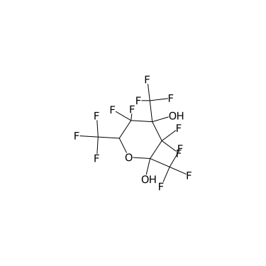 OC1(C(F)(F)F)OC(C(F)(F)F)C(F)(F)C(O)(C(F)(F)F)C1(F)F